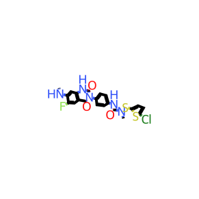 CNc1cc2[nH]c(=O)n(-c3ccc(NC(=O)N(C)Sc4ccc(Cl)s4)cc3)c(=O)c2cc1F